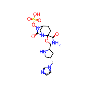 NC(=O)C1(OC[C@H]2C[C@H](Cn3ccnc3)CN2)CCC2CN1C(=O)N2OS(=O)(=O)O